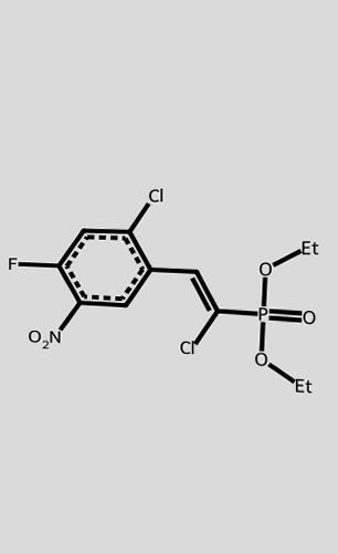 CCOP(=O)(OCC)C(Cl)=Cc1cc([N+](=O)[O-])c(F)cc1Cl